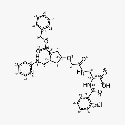 O=C(CO[C@@H]1C[C@@H](CNc2ccccn2)N(C(=O)OCc2ccccc2)C1)NC[C@H](NC(=O)c1ccccc1Cl)C(=O)O